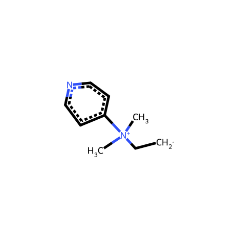 [CH2]C[N+](C)(C)c1ccncc1